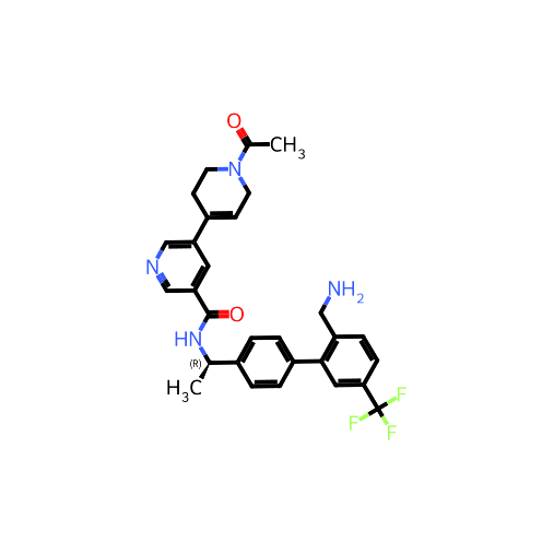 CC(=O)N1CC=C(c2cncc(C(=O)N[C@H](C)c3ccc(-c4cc(C(F)(F)F)ccc4CN)cc3)c2)CC1